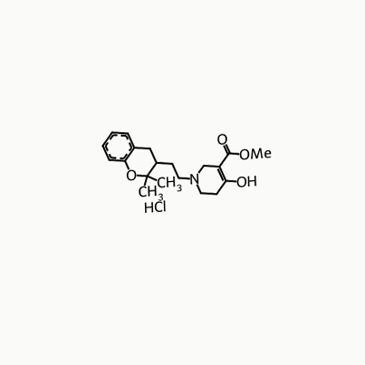 COC(=O)C1=C(O)CCN(CCC2Cc3ccccc3OC2(C)C)C1.Cl